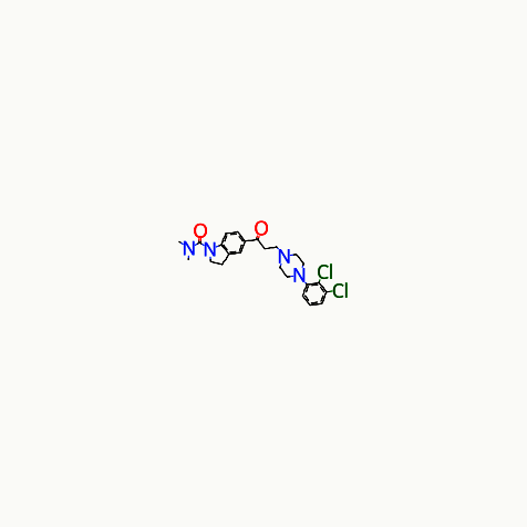 CN(C)C(=O)N1CCc2cc(C(=O)CCN3CCN(c4cccc(Cl)c4Cl)CC3)ccc21